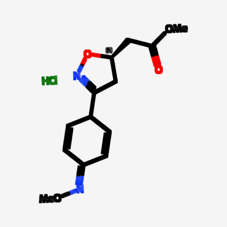 CON=C1C=CC(C2=NO[C@@H](CC(=O)OC)C2)C=C1.Cl